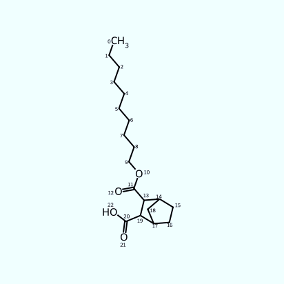 CCCCCCCCCCOC(=O)C1C2CCC(C2)C1C(=O)O